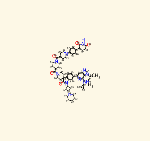 CC(C)n1cnc2cc(-c3ccc4c(c3)N([C@H]3C[C@@H](N5CCCCC5)C3)C(=O)C43CCN(C(=O)C4CCN(C(=O)C5CCN(c6ccc(C7CCC(=O)NC7=O)cc6)CC5)CC4)CC3)nc(NC3CC3)c21